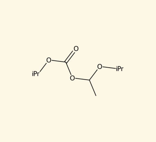 CC(C)OC(=O)OC(C)OC(C)C